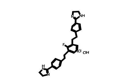 Cl.Cl.Fc1c(CCc2ccc(C3=NCCN3)cc2)cccc1CCc1ccc(C2=NCCN2)cc1